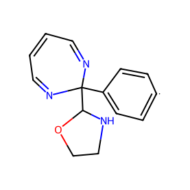 [c]1ccc(C2(C3NCCO3)N=CC=CC=N2)cc1